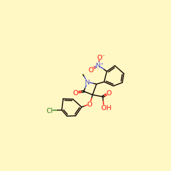 CN1C(=O)C(Oc2ccc(Cl)cc2)(C(=O)O)C1c1ccccc1[N+](=O)[O-]